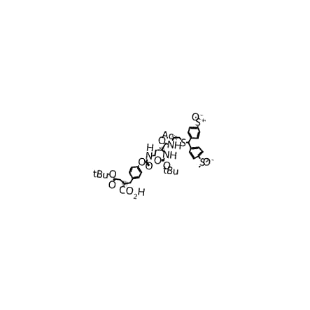 CC(=O)[C@H](CSC(c1ccc([S+](C)[O-])cc1)c1ccc([S+](C)[O-])cc1)NC(=O)[C@H](CCNC(=O)Oc1ccc(C[C@H](CC(=O)OC(C)(C)C)C(=O)O)cc1)NC(=O)OC(C)(C)C